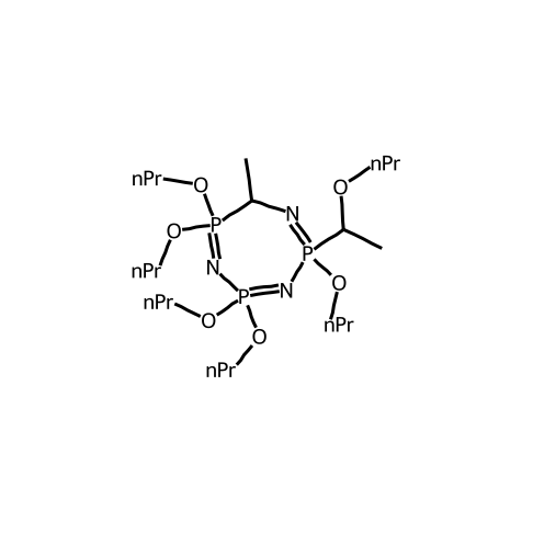 CCCOC(C)P1(OCCC)=NC(C)P(OCCC)(OCCC)=NP(OCCC)(OCCC)=N1